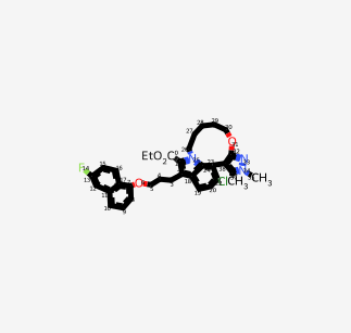 CCOC(=O)c1c(CCCOc2cccc3cc(F)ccc23)c2ccc(Cl)c3c2n1CCCCCOc1nn(C)c(C)c1-3